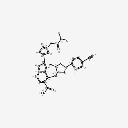 C[C@H]1CN(c2ncc(C#N)cn2)C[C@H]1Nc1c(C(N)=O)cnn2cc(-c3cnn(CC(=O)N(C)C)c3)cc12